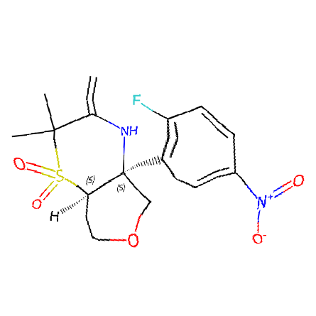 C=C1N[C@@]2(c3cc([N+](=O)[O-])ccc3F)COC[C@H]2S(=O)(=O)C1(C)C